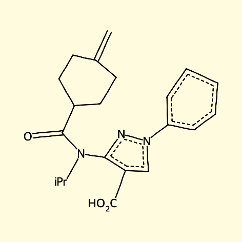 C=C1CCC(C(=O)N(c2nn(-c3ccccc3)cc2C(=O)O)C(C)C)CC1